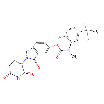 CN(C(=O)Oc1ccc2c(c1)C(=O)N(C1CCC(=O)NC1=O)C2)c1cc(C(C)(F)F)ccc1F